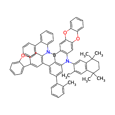 Cc1ccccc1-c1cc2c3c(c1)N(c1cc4c(cc1C)C(C)(C)CCC4(C)C)c1cc4c(cc1B3N(c1ccccc1-c1ccccc1)c1cc3oc5ccccc5c3cc1-2)Oc1ccccc1O4